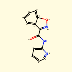 O=C(Nc1ccccn1)c1noc2ccccc12